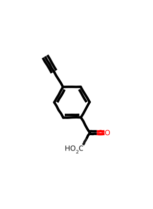 C#Cc1ccc(C(=O)C(=O)O)cc1